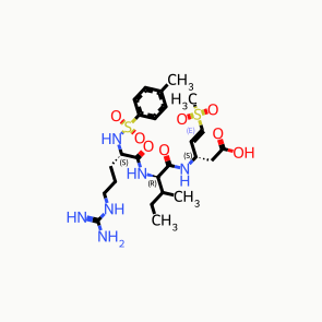 CCC(C)[C@@H](NC(=O)[C@H](CCCNC(=N)N)NS(=O)(=O)c1ccc(C)cc1)C(=O)N[C@H](/C=C/S(C)(=O)=O)CC(=O)O